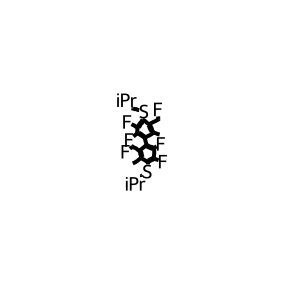 Cc1c(CF)c(-c2c(C)c(CF)c(SCC(C)C)c(F)c2F)c(F)c(F)c1SCC(C)C